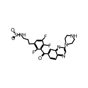 O=C(c1ccc2ncc(N3CCNCC3)nc2c1)c1c(F)c(F)cc(CCCN[SH](=O)=O)c1F